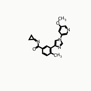 COc1cncc(-n2cnc(-c3cc(C(=O)N=C4CC4)ccc3C)c2)c1